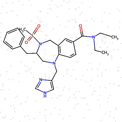 CCN(CC)C(=O)c1ccc2c(c1)CN(S(C)(=O)=O)C(Cc1ccccc1)CN2Cc1c[nH]cn1